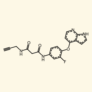 C#CCNC(=O)CC(=O)Nc1ccc(Oc2ccnc3[nH]ccc23)c(F)c1